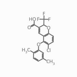 Cc1ccc(C)c(Oc2c(Cl)ccc3c2C=C(C(=O)O)C(C(F)(F)F)O3)c1